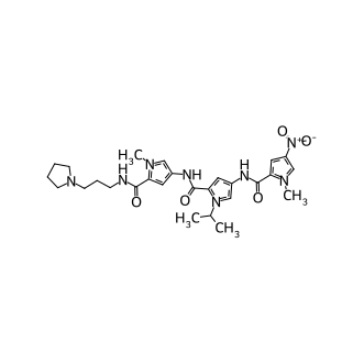 CC(C)n1cc(NC(=O)c2cc([N+](=O)[O-])cn2C)cc1C(=O)Nc1cc(C(=O)NCCCN2CCCC2)n(C)c1